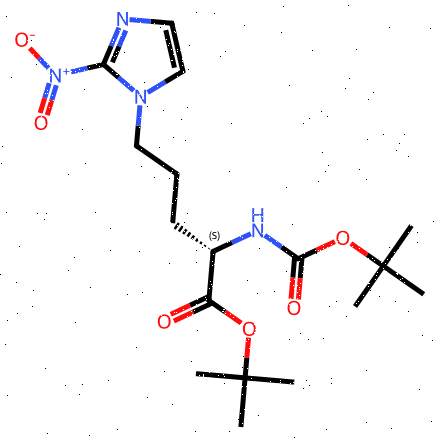 CC(C)(C)OC(=O)N[C@@H](CCCn1ccnc1[N+](=O)[O-])C(=O)OC(C)(C)C